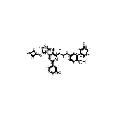 Oc1ccc(CCNc2nc(-c3cncc(F)c3)nc3c2nc2n3[C@H](CC3CCC3)CS2)cc1-c1cncc(F)c1